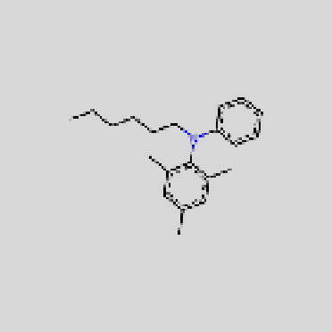 CCCCCCN(c1ccccc1)c1c(C)cc(C)cc1C